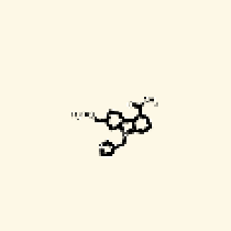 COCc1c[c]c2c3c(C(N)=O)cccc3n(Cc3ccsc3)c2c1